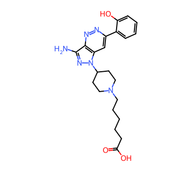 Nc1nn(C2CCN(CCCCCC(=O)O)CC2)c2cc(-c3ccccc3O)nnc12